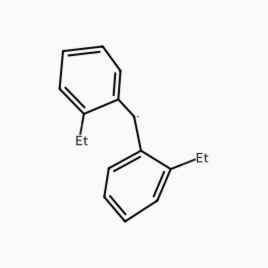 CCc1ccccc1[CH]c1ccccc1CC